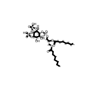 CCCCCCCC(=O)OC[C@H](COP(=O)(O)O[C@@H]1[C@H](O)[C@H](O)[C@@H](OP(=O)(O)O)[C@H](OP(=O)(O)O)[C@H]1O)OC(=O)CCCCCCC